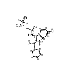 CCC(C)(CCC(=O)Nc1c(C(=O)c2ccccc2)[nH]c2cc(Cl)ccc12)[N+](=O)[O-]